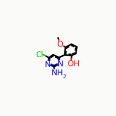 COc1cccc(O)c1-c1cc(Cl)nc(N)n1